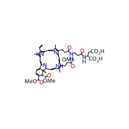 C=Cc1c(C)c2cc3nc(cc4[nH]c(cc5nc(cc1[nH]2)C(C)=C5CCC(=O)NCCC(=O)NC(CC(=O)O)C(=O)O)c(CCC(=O)OC)c4C)[C@@]1(C)C3=CC=C(C(=O)OC)[C@H]1C(=O)OC